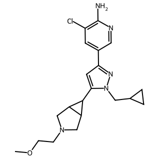 COCCN1CC2C(C1)C2c1cc(-c2cnc(N)c(Cl)c2)nn1CC1CC1